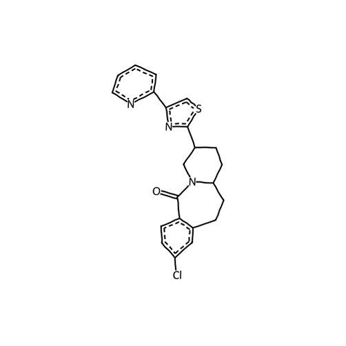 O=C1c2ccc(Cl)cc2CCC2CCC(c3nc(-c4ccccn4)cs3)CN12